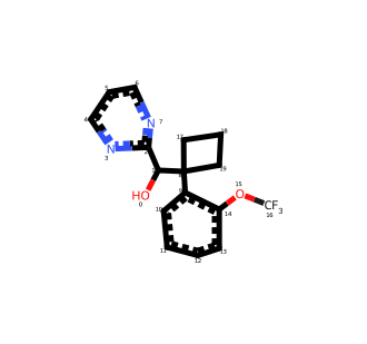 OC(c1ncccn1)C1(c2ccccc2OC(F)(F)F)CCC1